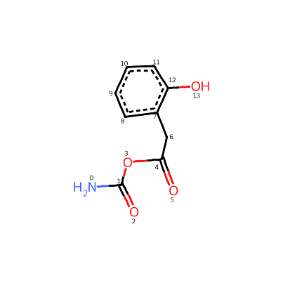 NC(=O)OC(=O)Cc1ccccc1O